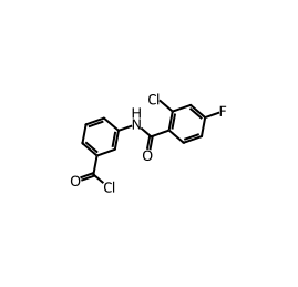 O=C(Cl)c1cccc(NC(=O)c2ccc(F)cc2Cl)c1